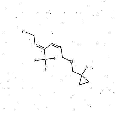 NC1(COC/N=C\C(=C/CCl)C(F)(F)F)CC1